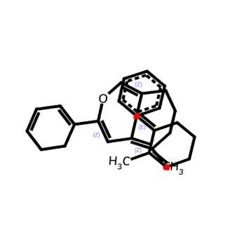 CC1=CCCC/C1=C\C1=C/O/C(C2=CC=CCC2)=C\C(c2ccccc2)=C(/C)CCC1